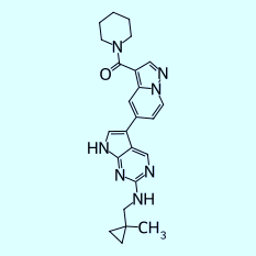 CC1(CNc2ncc3c(-c4ccn5ncc(C(=O)N6CCCCC6)c5c4)c[nH]c3n2)CC1